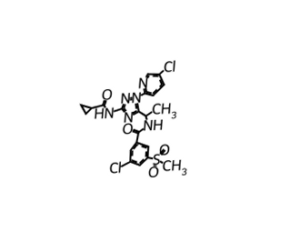 CC(NC(=O)c1cc(Cl)cc(S(C)(=O)=O)c1)c1nc(NC(=O)C2CC2)nn1-c1ccc(Cl)cn1